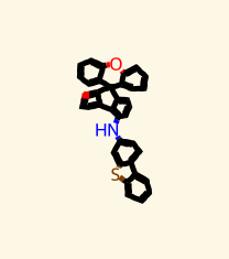 c1ccc2c(c1)Oc1ccccc1C21c2ccccc2-c2c(Nc3ccc4c(c3)sc3ccccc34)cccc21